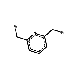 BrCc1cccc(CBr)n1